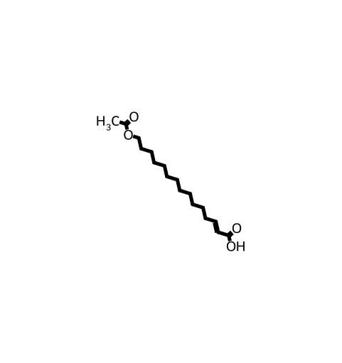 CC(=O)OCCCCCCCCCCCCC=CC(=O)O